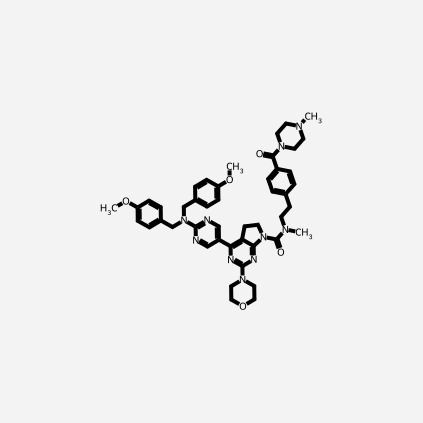 COc1ccc(CN(Cc2ccc(OC)cc2)c2ncc(-c3nc(N4CCOCC4)nc4c3CCN4C(=O)N(C)CCc3ccc(C(=O)N4CCN(C)CC4)cc3)cn2)cc1